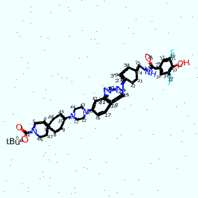 CC(C)(C)OC(=O)N1CCC2(CCC(N3CCN(c4ccc5cn(C6CCC(CNC(=O)c7cc(F)c(O)c(F)c7)CC6)nc5c4)CC3)CC2)CC1